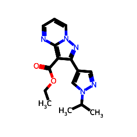 CCOC(=O)c1c(-c2cnn(C(C)C)c2)nn2cccnc12